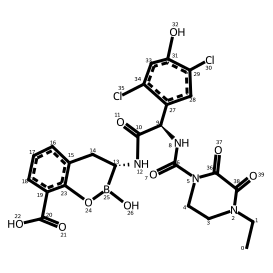 CCN1CCN(C(=O)N[C@@H](C(=O)N[C@H]2Cc3cccc(C(=O)O)c3OB2O)c2cc(Cl)c(O)cc2Cl)C(=O)C1=O